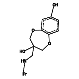 CC(C)NCC1(O)COc2ccc(O)cc2OC1